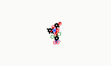 COc1cccc(C(=O)N(C(=O)c2cc(C)cc(C)c2)N(C(=O)OC(Cl)c2ccc([N+](=O)[O-])cc2Cl)C(C)(C)C)c1C